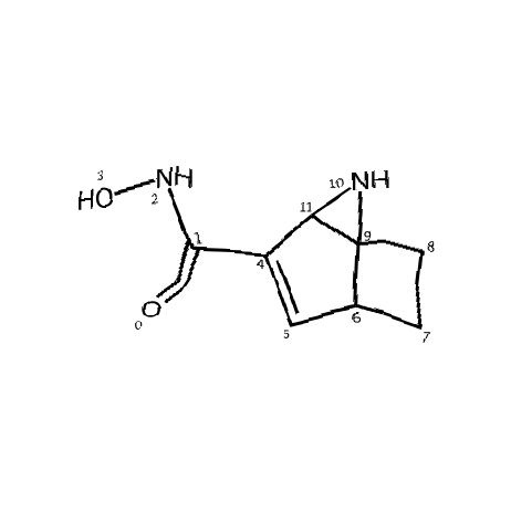 O=C(NO)C1=CC2CCC23NC13